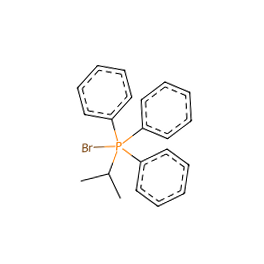 CC(C)P(Br)(c1ccccc1)(c1ccccc1)c1ccccc1